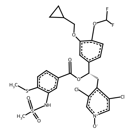 CSc1ccc(C(=O)O[C@@H](Cc2c(Cl)c[n+]([O-])cc2Cl)c2ccc(OC(F)F)c(OCC3CC3)c2)cc1NS(C)(=O)=O